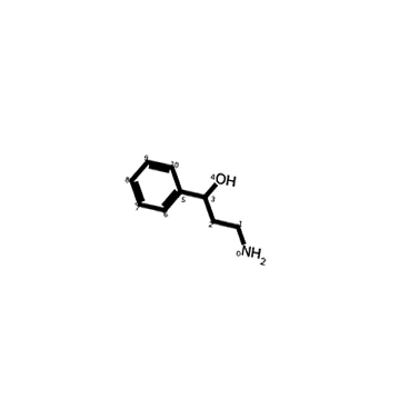 NCCC(O)c1c[c]ccc1